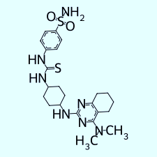 CN(C)c1nc(NC2CCC(NC(=S)Nc3ccc(S(N)(=O)=O)cc3)CC2)nc2c1CCCC2